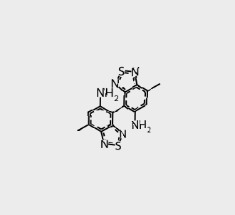 Cc1cc(N)c(-c2c(N)cc(C)c3nsnc23)c2nsnc12